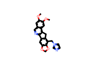 COc1cc2cnc3c(c2cc1OC)Cc1c-3cc2c(c1Cn1ccnc1)OCO2